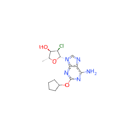 C[C@H]1O[C@@H](n2cnc3c(N)nc(OC4CCCC4)nc32)[C@H](Cl)[C@@H]1O